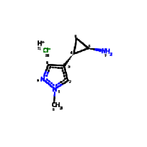 Cn1cc([C@@H]2C[C@H]2N)cn1.[Cl-].[H+]